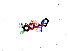 Cc1ccc(S(=O)(=O)NC2CC3CCC(C2)N3CCCN(Cc2ccc(C)c(Cl)c2)S(=O)(=O)O)cc1